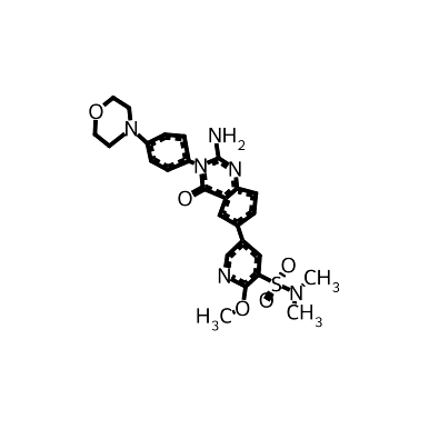 COc1ncc(-c2ccc3nc(N)n(-c4ccc(N5CCOCC5)cc4)c(=O)c3c2)cc1S(=O)(=O)N(C)C